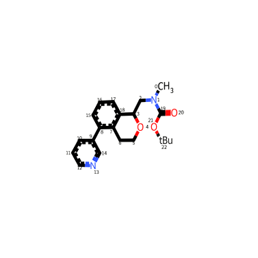 CN(CC1OCCc2c(-c3cccnc3)cccc21)C(=O)OC(C)(C)C